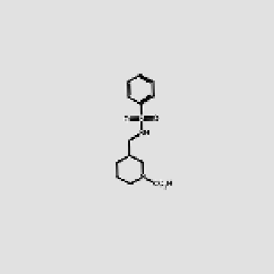 O=C(O)N1CCCC(CNS(=O)(=O)c2ccccc2)C1